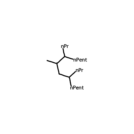 CCCCCC(CCC)C[C](C)C(CCC)CCCCC